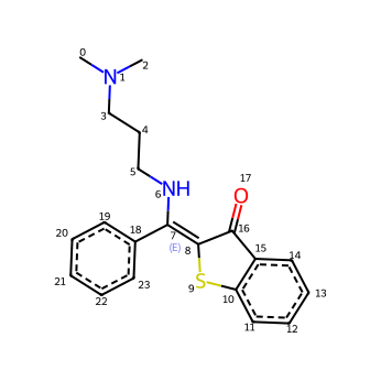 CN(C)CCCN/C(=C1/Sc2ccccc2C1=O)c1ccccc1